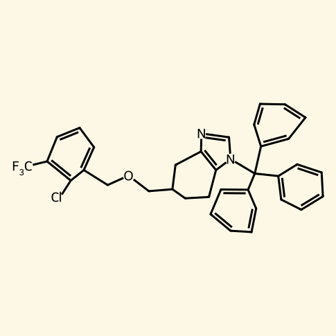 FC(F)(F)c1cccc(COCC2CCc3c(ncn3C(c3ccccc3)(c3ccccc3)c3ccccc3)C2)c1Cl